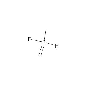 C=P(C)(F)F